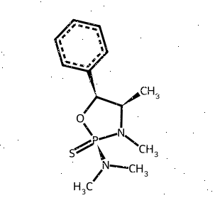 C[C@@H]1[C@H](c2ccccc2)O[P@](=S)(N(C)C)N1C